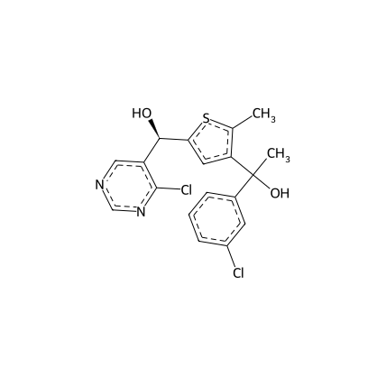 Cc1sc([C@H](O)c2cncnc2Cl)cc1C(C)(O)c1cccc(Cl)c1